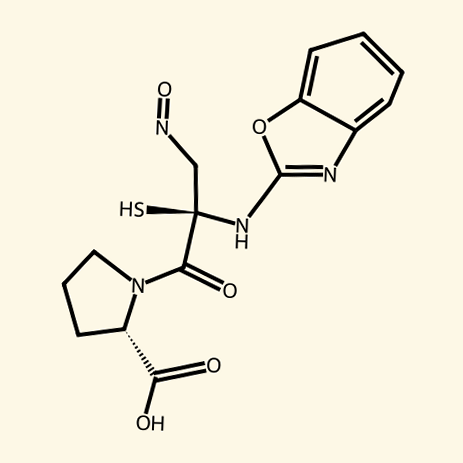 O=NC[C@](S)(Nc1nc2ccccc2o1)C(=O)N1CCC[C@H]1C(=O)O